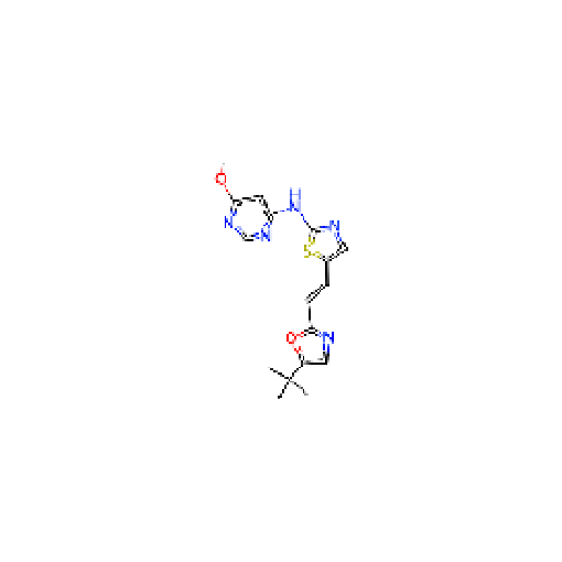 COc1cc(Nc2ncc(C=Cc3ncc(C(C)(C)C)o3)s2)ncn1